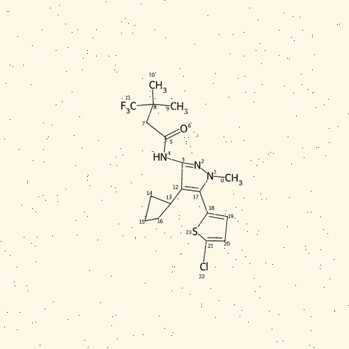 Cn1nc(NC(=O)CC(C)(C)C(F)(F)F)c(C2CCC2)c1-c1ccc(Cl)s1